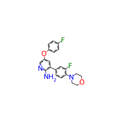 Nc1ncc(Oc2ccc(F)cc2)cc1-c1ccc(N2CCOCC2)c(F)c1